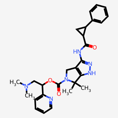 CN(C)CC(OC(=O)N1Cc2c(NC(=O)C3CC3c3ccccc3)n[nH]c2C1(C)C)c1ccccn1